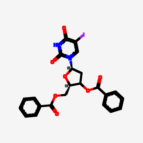 O=C(OC[C@@H]1O[C@H](n2cc(I)c(=O)[nH]c2=O)CC1OC(=O)c1ccccc1)c1ccccc1